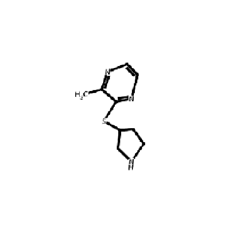 Cc1nccnc1SC1CCNC1